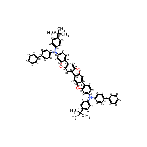 CC(C)(C)c1ccc(N(c2ccc(-c3ccccc3)cc2)c2ccc3c(c2)oc2cc4c(cc23)oc2cc3c(cc24)oc2cc(N(c4ccc(-c5ccccc5)cc4)c4ccc(C(C)(C)C)cc4)ccc23)cc1